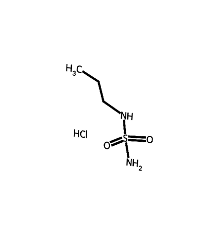 CCCNS(N)(=O)=O.Cl